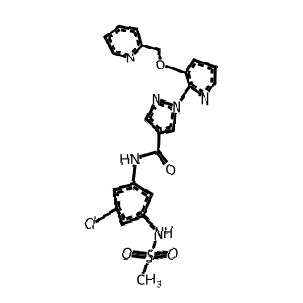 CS(=O)(=O)Nc1cc(Cl)cc(NC(=O)c2cnn(-c3ncccc3OCc3ccccn3)c2)c1